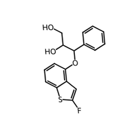 OCC(O)C(Oc1cccc2sc(F)cc12)c1ccccc1